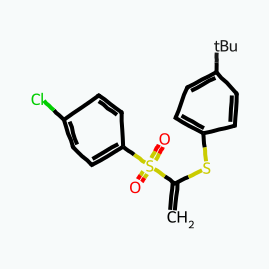 C=C(Sc1ccc(C(C)(C)C)cc1)S(=O)(=O)c1ccc(Cl)cc1